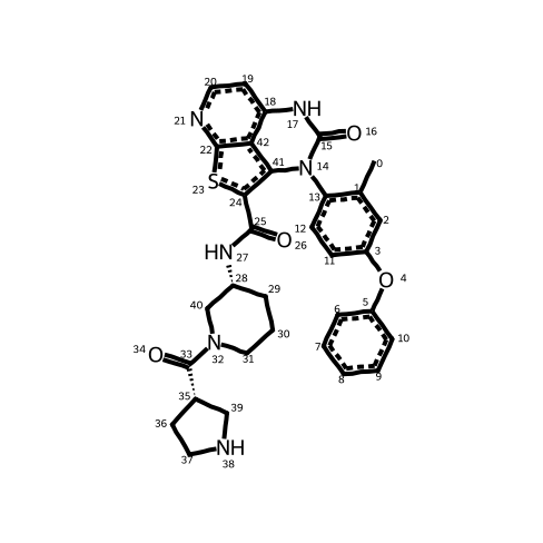 Cc1cc(Oc2ccccc2)ccc1N1C(=O)Nc2ccnc3sc(C(=O)N[C@@H]4CCCN(C(=O)[C@H]5CCNC5)C4)c1c23